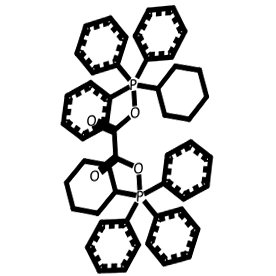 O=C(OP(c1ccccc1)(c1ccccc1)(c1ccccc1)C1CCCCC1)C(=O)OP(c1ccccc1)(c1ccccc1)(c1ccccc1)C1CCCCC1